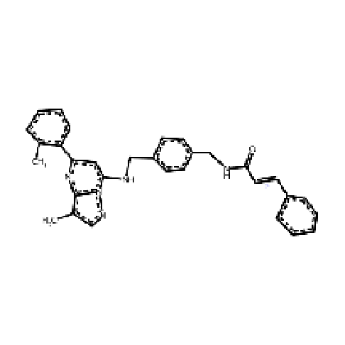 Cc1ccccc1-c1cc(NCc2ccc(CNC(=O)/C=C/c3ccccc3)cc2)n2ncc(C)c2n1